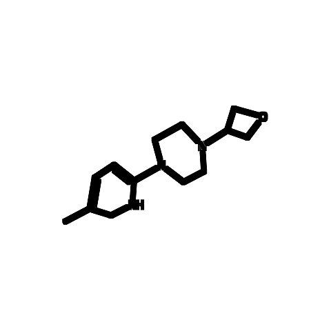 CC1=CC=C(N2CCN(C3COC3)CC2)NC1